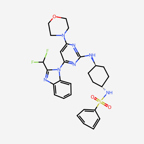 O=S(=O)(N[C@H]1CC[C@H](Nc2nc(N3CCOCC3)cc(-n3c(C(F)F)nc4ccccc43)n2)CC1)c1ccccc1